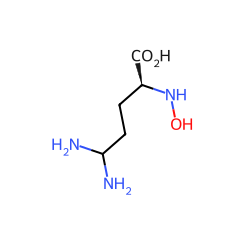 NC(N)CC[C@H](NO)C(=O)O